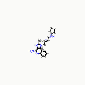 CCCCc1nc2c(N)nc3ccccc3c2n1C/C=C/CNC1CCCC1